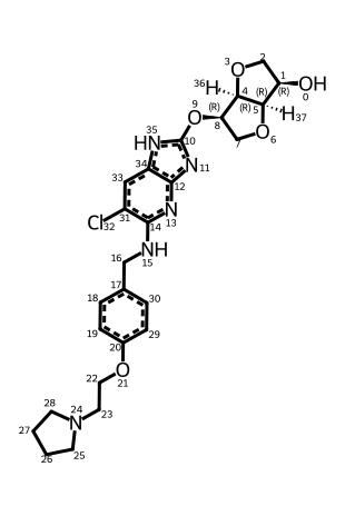 O[C@@H]1CO[C@H]2[C@@H]1OC[C@H]2Oc1nc2nc(NCc3ccc(OCCN4CCCC4)cc3)c(Cl)cc2[nH]1